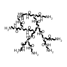 NCCNC(=O)CCN(CCNC(=O)CCN(CCC(=O)NCCN(CCC(=O)NCCN)CCC(=O)NCCN)CCN(CCC(=O)NCCN(CCC(=O)NCCN)CCC(=O)NCCN)CCC(=O)NCCN(CCC(=O)NCCN)CCC(=O)NCC1NN1)CCC(=O)NCCN